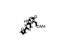 COCCn1c(=O)nc2[nH]c3nc(-c4ccco4)ncc3n21